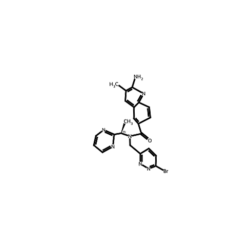 Cc1cc2cc(C(=O)N(Cc3ccc(Br)nn3)[C@H](C)c3ncccn3)ccc2nc1N